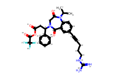 CC(C)N1C(=O)CN(C(CC(=O)OC(=O)C(F)(F)F)c2ccccc2)C(=O)c2cc(C#CCCCNC(=N)N)ccc21